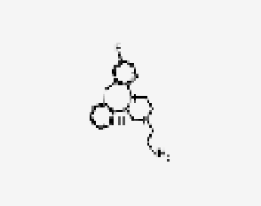 NCCN1CCN2c3ccc(F)cc3Cc3ccccc3[C@@H]2C1